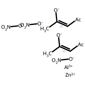 CC(=O)/C=C(/C)[O-].CC(=O)/C=C(/C)[O-].O=[N+]([O-])[O-].O=[N+]([O-])[O-].O=[N+]([O-])[O-].[Al+3].[Zn+2]